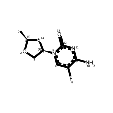 C[C@@H]1OC[C@H](n2cc(F)c(N)nc2=O)S1